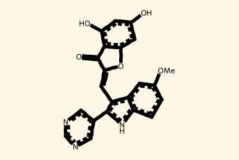 COc1ccc2[nH]c(-c3cncnc3)c(/C=C3\Oc4cc(O)cc(O)c4C3=O)c2c1